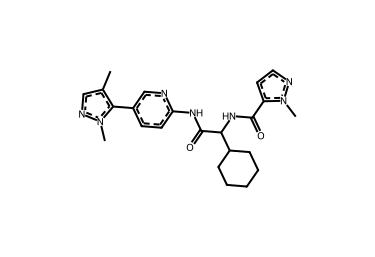 Cc1cnn(C)c1-c1ccc(NC(=O)C(NC(=O)c2ccnn2C)C2CCCCC2)nc1